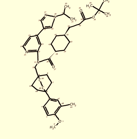 COc1ccc(C23CCC(CN(c4cc(-c5cnn(C(C)C)c5)ccn4)C(=O)[C@H]4CC[C@H](CCC(=O)OC(C)(C)C)CC4)(CC2)CC3)cc1C